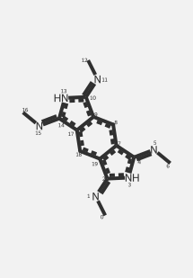 C/N=c1\[nH]/c(=N\C)c2cc3/c(=N/C)[nH]/c(=N\C)c3cc12